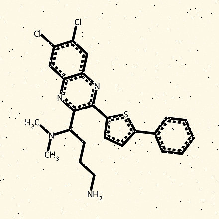 CN(C)C(CCCN)c1nc2cc(Cl)c(Cl)cc2nc1-c1ccc(-c2ccccc2)s1